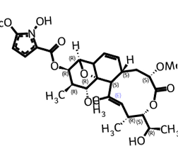 CO[C@H]1C[C@H]2C=CC3C4[C@H](O)[C@@H](C)[C@@H](OC(=O)c5ccc(OC(C)=O)n5O)[C@@H]3O[C@]42/C(C)=C/[C@@H](C)[C@@H]([C@@H](C)O)OC1=O